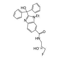 CCn1c(C(O)(c2ccccc2)c2ccccc2)nc2ccc(C(=O)NC[C@@H](O)CF)cc21